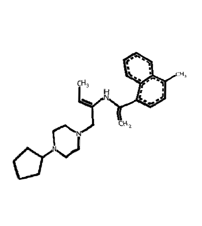 C=C(N/C(=C\C)CN1CCN(C2CCCC2)CC1)c1ccc(C)c2ccccc12